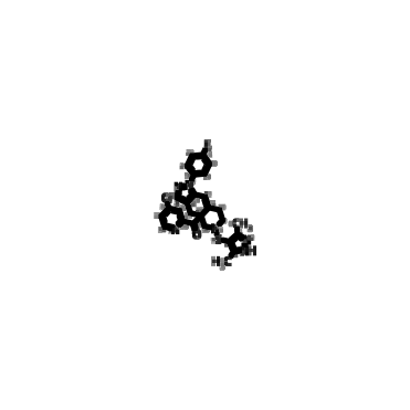 Cc1n[nH]c(C)c1SN1CCC2=Cc3c(cnn3-c3ccc(F)cc3)CC2(C(=O)c2cc(C(F)(F)F)ccn2)C1